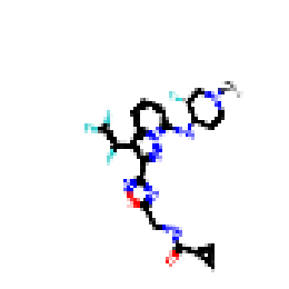 CN1CC[C@@H](Nc2cccc3c(C(F)=C(F)F)c(-c4noc(CNC(=O)C5CC5)n4)nn23)[C@@H](F)C1